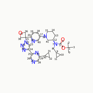 CC(C)(C)OC(=O)N(CC1CC1)[C@@H]1CCCN(c2ccc(C3(n4cc(-c5cncc(C6CC6)n5)nn4)COC3)nc2)C1